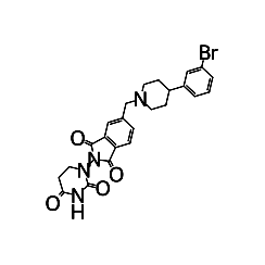 O=C1CCN(N2C(=O)c3ccc(CN4CCC(c5cccc(Br)c5)CC4)cc3C2=O)C(=O)N1